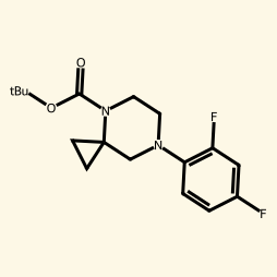 CC(C)(C)OC(=O)N1CCN(c2ccc(F)cc2F)CC12CC2